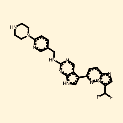 FC(F)c1cnc2ccc(-c3c[nH]c4nc(NCc5ccc(N6CCNCC6)nc5)ncc34)nn12